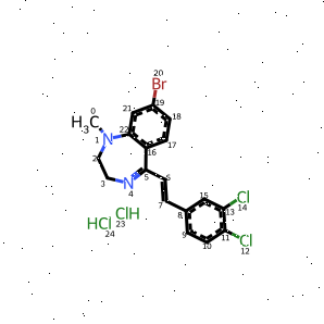 CN1CCN=C(C=Cc2ccc(Cl)c(Cl)c2)c2ccc(Br)cc21.Cl.Cl